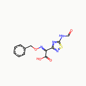 O=CNc1nc(C(=NOCc2ccccc2)C(=O)O)ns1